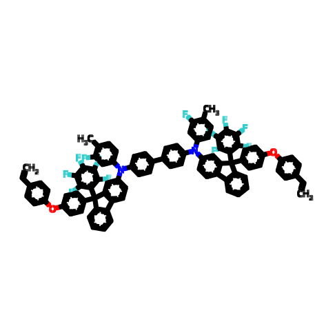 C=Cc1ccc(Oc2ccc(C3(c4c(F)c(F)c(F)c(F)c4F)c4ccccc4-c4ccc(N(c5ccc(-c6ccc(N(c7ccc(C)c(F)c7)c7ccc8c(c7)C(c7ccc(Oc9ccc(C=C)cc9)cc7)(c7c(F)c(F)c(F)c(F)c7F)c7ccccc7-8)cc6)cc5)c5ccc(C)c(F)c5)cc43)cc2)cc1